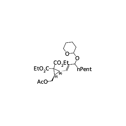 CCCCCC(C=C[C@@H]1[C@@H](COC(C)=O)C1(C(=O)OCC)C(=O)OCC)OC1CCCCO1